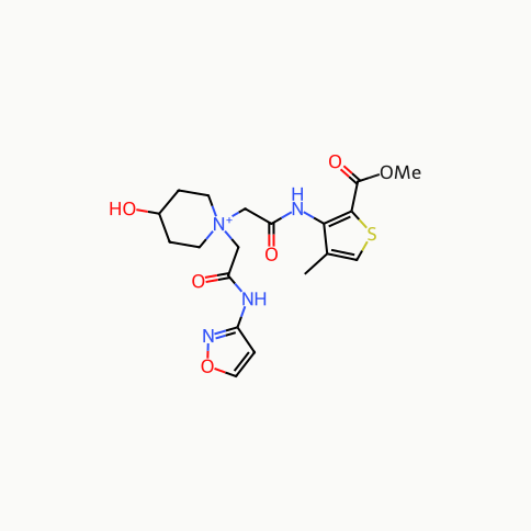 COC(=O)c1scc(C)c1NC(=O)C[N+]1(CC(=O)Nc2ccon2)CCC(O)CC1